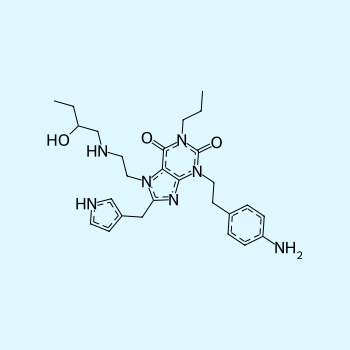 CCCn1c(=O)c2c(nc(Cc3cc[nH]c3)n2CCNCC(O)CC)n(CCc2ccc(N)cc2)c1=O